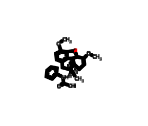 COC1=CC[C@H]2[C@H]3Cc4ccc(OC)c5c4[C@@]2(CCN3C)[C@H]1O5.O=C(O)Nc1ccccc1